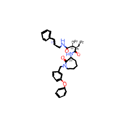 CCC[C@H](C(=O)NC/C=C/c1ccccc1)[C@@H](CC(C)C)C(=O)N[C@H]1CCCCN(Cc2cccc(Oc3ccccc3)c2)C1=O